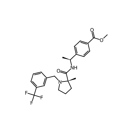 COC(=O)c1ccc([C@H](C)NC(=O)[C@]2(C)CCCN2Cc2cccc(C(F)(F)F)c2)cc1